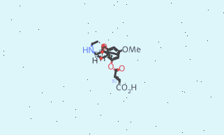 COc1cc(OC(=O)/C=C/C(=O)O)c2c(c1)[C@]13CCN[C@H](C2)[C@@H]1CC(C)(C)OC3